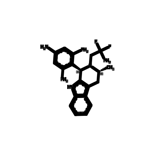 C[C@@H]1Cc2c([nH]c3ccccc23)[C@@H](c2c(P)cc(N)cc2P)N1CC(F)(F)P